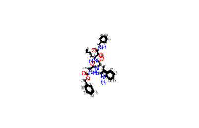 CCCC[C@H](NC(=O)[C@H](Cc1c[nH]c2ccccc12)NC(=O)[C@H](C)NC(=O)OCc1ccccc1)C(=O)C(=O)NCc1ccccc1